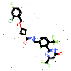 O=c1cc(C(F)F)nc(-c2c(C(F)(F)F)ccc(CNC(=O)[C@H]3C[C@H](OCc4ccc(F)cc4Cl)C3)c2F)[nH]1